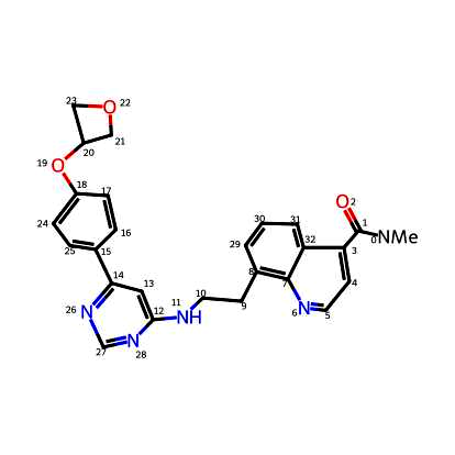 CNC(=O)c1ccnc2c(CCNc3cc(-c4ccc(OC5COC5)cc4)ncn3)cccc12